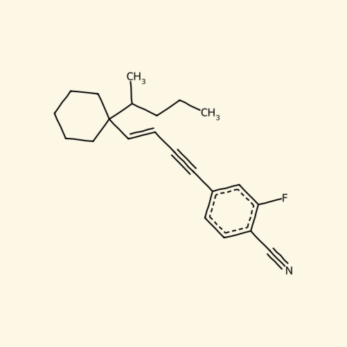 CCCC(C)C1(/C=C/C#Cc2ccc(C#N)c(F)c2)CCCCC1